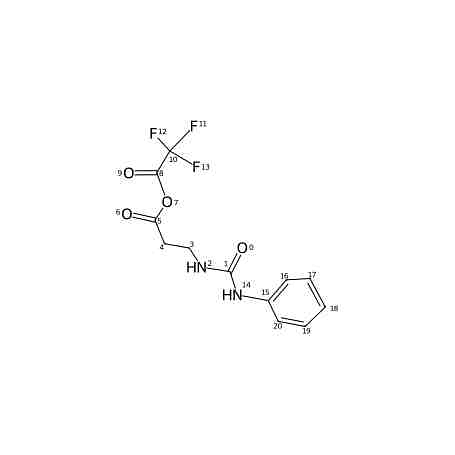 O=C(NCCC(=O)OC(=O)C(F)(F)F)Nc1ccccc1